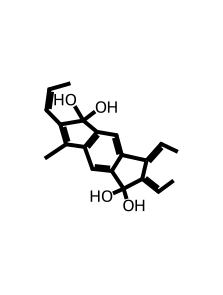 C/C=C\C1=C(C)c2cc3c(cc2C1(O)O)C(=C/C)/C(=C\C)C3(O)O